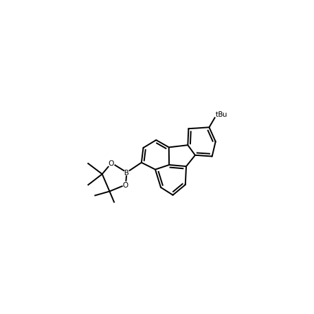 CC(C)(C)c1ccc2c(c1)-c1ccc(B3OC(C)(C)C(C)(C)O3)c3cccc-2c13